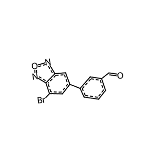 O=Cc1cccc(-c2cc(Br)c3nonc3c2)c1